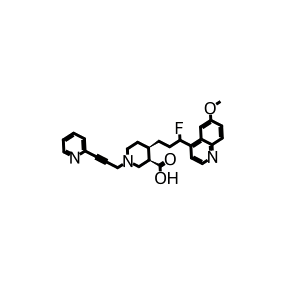 COc1ccc2nccc(C(F)CC[C@@H]3CCN(CC#Cc4ccccn4)C[C@@H]3C(=O)O)c2c1